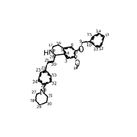 COc1cc2c(cc1OCc1ccccc1)CCNC2C=Cc1ccc(N2CCCCC2)cc1